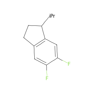 CC(C)C1CCc2cc(F)c(F)cc21